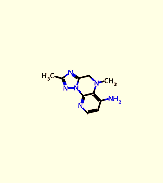 Cc1nc2n(n1)-c1nccc(N)c1N(C)C2